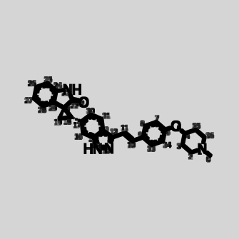 CN1CCC(Oc2ccc(/C=C/c3n[nH]c4cc([C@@H]5C[C@@]56C(=O)Nc5ccccc56)ccc34)cc2)CC1